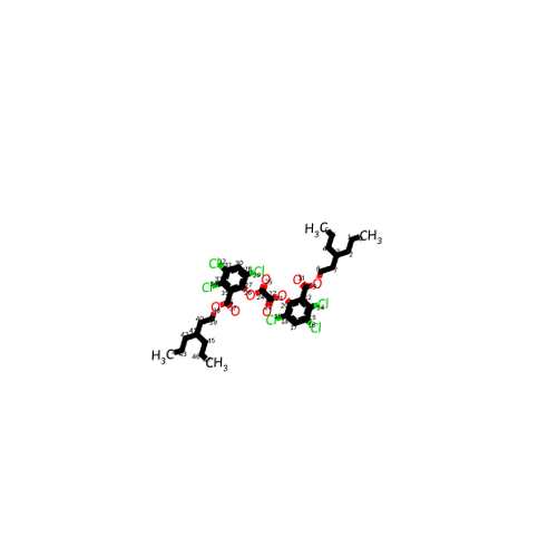 CCCC(CCC)CCOC(=O)c1c(Cl)c(Cl)cc(Cl)c1OC(=O)C(=O)Oc1c(Cl)cc(Cl)c(Cl)c1C(=O)OCCC(CCC)CCC